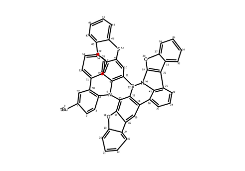 CC(C)(C)c1ccc(N2c3cc4c(cc3B3c5c(cc6c(oc7ccccc76)c52)-c2cccc5c6c7ccccc7oc6n3c25)Sc2ccccc2O4)c(-c2ccccc2)c1